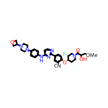 COCC(O)C(=O)N1CC[C@H](Oc2ccc(-c3nccc(Nc4ccc(N5CCN(C6COC6)CC5)cc4)n3)cc2C#N)[C@H](F)C1